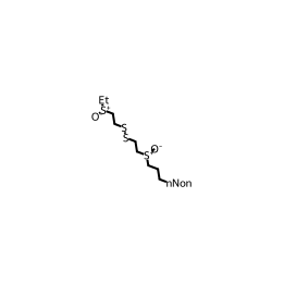 CCCCCCCCCCCC[S+]([O-])CCSSCC[S+]([O-])CC